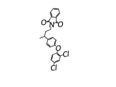 CC(CCN1C(=O)c2ccccc2C1=O)c1ccc(Oc2ccc(Cl)cc2Cl)cc1